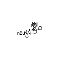 CCCCc1c(C)n(CCCC)c(=O)n1Cc1ccc(-c2ccccc2-c2nnn[nH]2)cc1